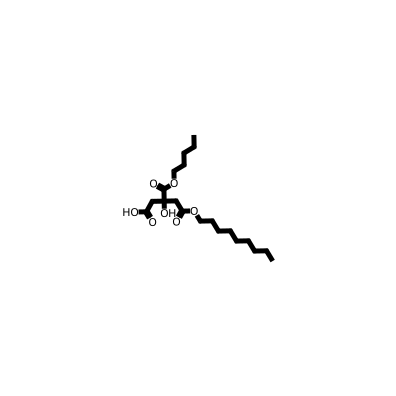 CCCCCCCCCOC(=O)CC(O)(CC(=O)O)C(=O)OCCCCC